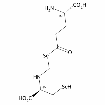 N[C@@H](CCC(=O)[Se]CN[C@@H](C[SeH])C(=O)O)C(=O)O